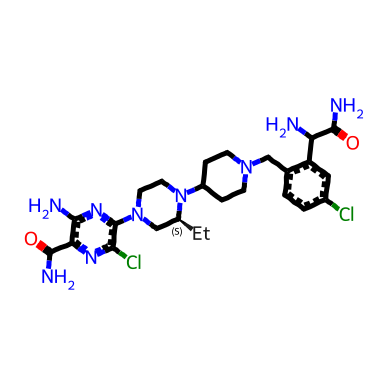 CC[C@H]1CN(c2nc(N)c(C(N)=O)nc2Cl)CCN1C1CCN(Cc2ccc(Cl)cc2C(N)C(N)=O)CC1